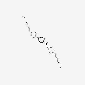 CCCCCCCC1CC=C(c2ccc(C(=O)OC3CCC(CCCCCCC)CC3)cc2)CC1